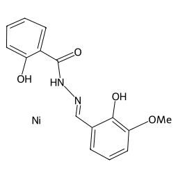 COc1cccc(C=NNC(=O)c2ccccc2O)c1O.[Ni]